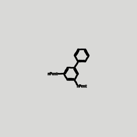 CCCCCc1cc(CCCCC)cc(-c2ccccc2)c1